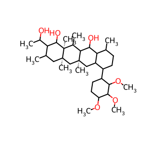 COC1CCC(C2CCC(C)C3C(O)C4C(C)[C@]5(C)C(O)C(C(C)O)C(C)C[C@]5(C)C[C@]4(C)CC23)C(OC)C1OC